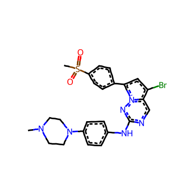 CN1CCN(c2ccc(Nc3ncc4c(Br)cc(-c5ccc(S(C)(=O)=O)cc5)n4n3)cc2)CC1